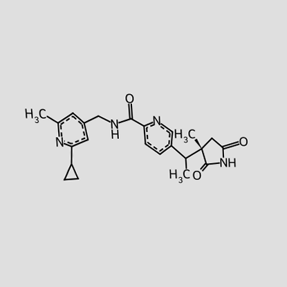 Cc1cc(CNC(=O)c2ccc(C(C)[C@]3(C)CC(=O)NC3=O)cn2)cc(C2CC2)n1